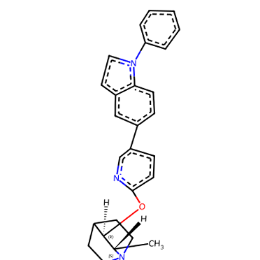 C[C@H]1[C@H](Oc2ccc(-c3ccc4c(ccn4-c4ccccc4)c3)cn2)C2CCN1CC2